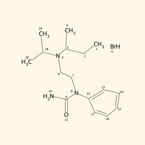 Br.CCC(C)N(CCN(C(N)=O)c1ccccc1)C(C)C